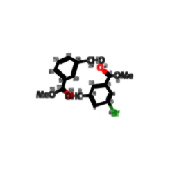 COC(=O)c1cc(Br)cc(C=O)c1.COC(=O)c1cccc(C=O)c1